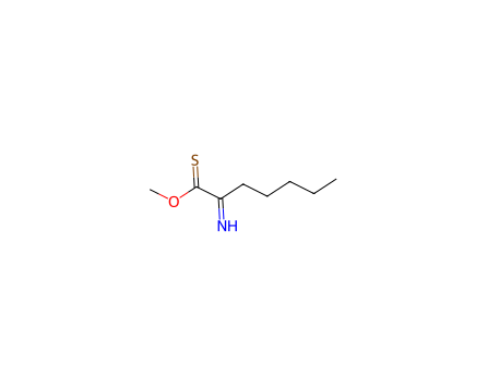 CCCCCC(=N)C(=S)OC